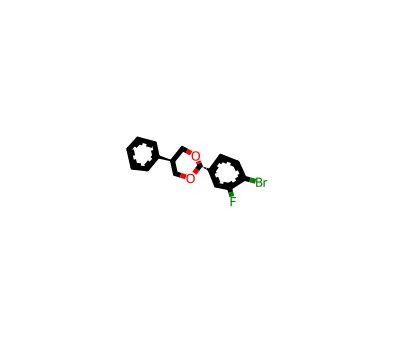 Fc1cc([C@H]2OC[C@H](c3ccccc3)CO2)ccc1Br